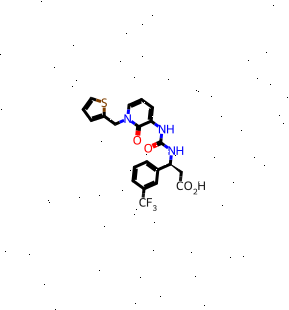 O=C(O)C[C@H](NC(=O)Nc1cccn(Cc2cccs2)c1=O)c1cccc(C(F)(F)F)c1